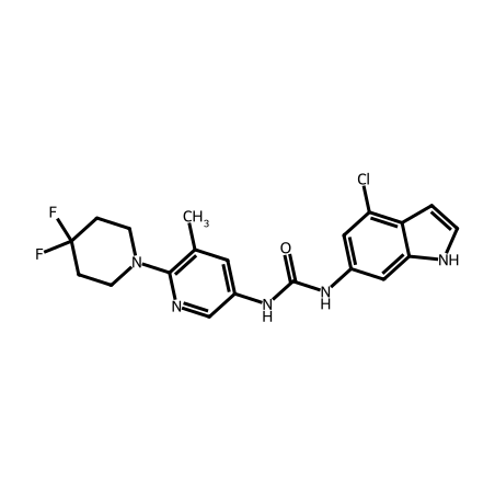 Cc1cc(NC(=O)Nc2cc(Cl)c3cc[nH]c3c2)cnc1N1CCC(F)(F)CC1